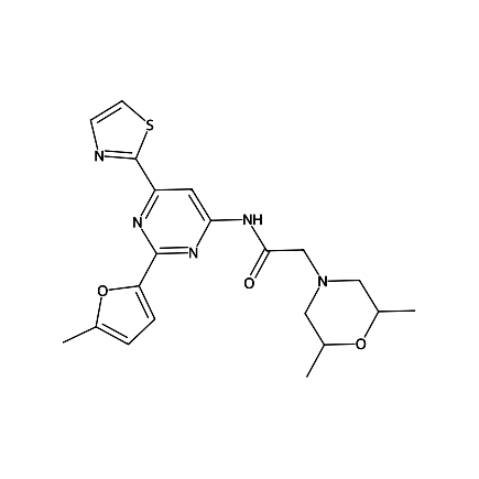 Cc1ccc(-c2nc(NC(=O)CN3CC(C)OC(C)C3)cc(-c3nccs3)n2)o1